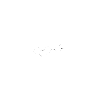 CC1CCC(C2CCC(C3CCCCC3F)CC2)CC1